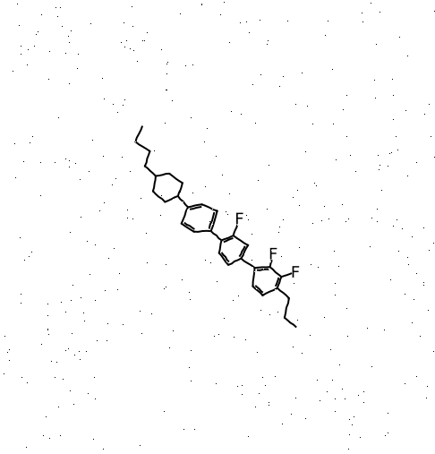 CCCCC1CCC(c2ccc(-c3ccc(-c4ccc(CCC)c(F)c4F)cc3F)cc2)CC1